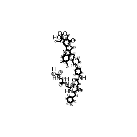 CC[C@@]1(O)C(=O)OCc2c1cc1n(c2=O)Cc2c-1nc1cc(F)c(C)cc1c2CN1CCN(c2ccc(NC(=O)CNC(=O)C(Cc3ccccc3)NC(=O)CNC(=O)CNC(=O)O)cc2)CC1